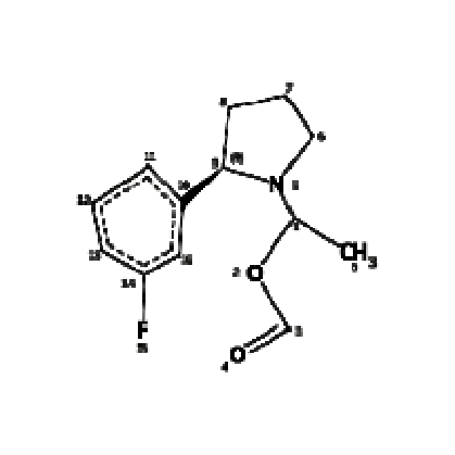 CC(OC=O)N1CCC[C@@H]1c1cccc(F)c1